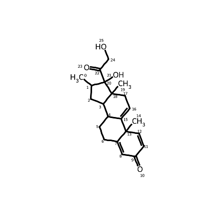 CC1CC2C3CCC4=CC(=O)C=CC4(C)C3=CCC2(C)C1(O)C(=O)CO